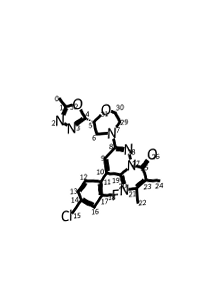 Cc1nnc([C@H]2CN(c3cc(-c4ccc(Cl)cc4F)c4nc(C)c(C)c(=O)n4n3)CCO2)o1